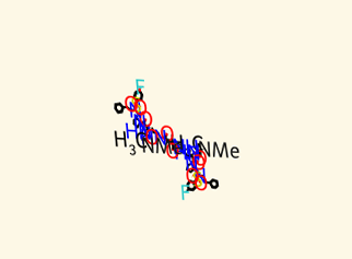 CN[C@@H](C)C(=O)NC(CCCNC(=O)CCC(=O)NCCC[C@H](NC(=O)[C@H](C)NC)C(=O)N1CCC[C@H]1CN(CCc1ccccc1)S(=O)(=O)c1ccc(F)cc1)C(=O)N1CCC[C@H]1CN(CCc1ccccc1)S(=O)(=O)c1ccc(F)cc1